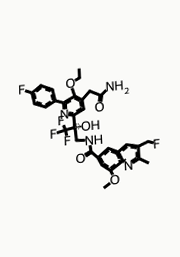 CCOc1c(CC(N)=O)cc([C@@](O)(CNC(=O)c2cc(OC)c3nc(C)c(CF)cc3c2)C(F)(F)F)nc1-c1ccc(F)cc1